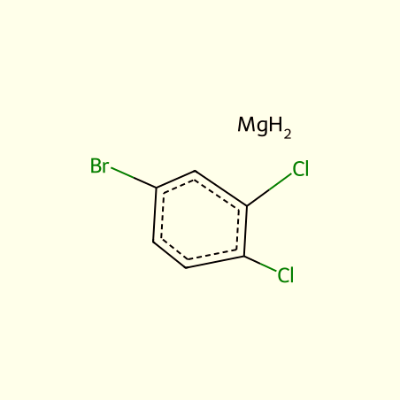 Clc1ccc(Br)cc1Cl.[MgH2]